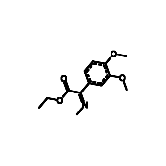 CCOC(=O)C(=NC)c1ccc(OC)c(OC)c1